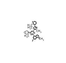 Cc1ncccc1-n1nc(C)c(-c2cc(N3CCOC[C@H]3C)nc(-c3cc(F)cc4c3ccn4C)n2)c1C